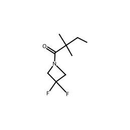 CCC(C)(C)C(=O)N1CC(F)(F)C1